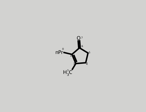 CCCC1=C(C)[CH]CC1=O